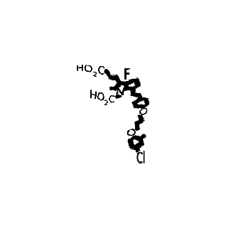 Cc1cc(Cl)ccc1OC/C=C/COc1ccc(/C=C/c2ccc(F)c3c(CCCC(=O)O)c(C)n(CC(=O)O)c23)cc1